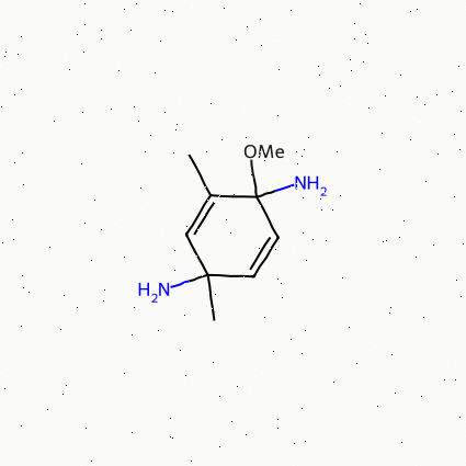 COC1(N)C=CC(C)(N)C=C1C